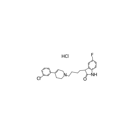 Cl.O=C1Nc2ccc(F)cc2C1CCCCN1CC=C(c2cccc(Cl)c2)CC1